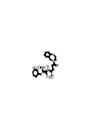 O=C(O)N[C@@H](CC1CCCCC1)C(=O)N[C@H](CO)CCC(=O)N1CCOc2ccccc2C1